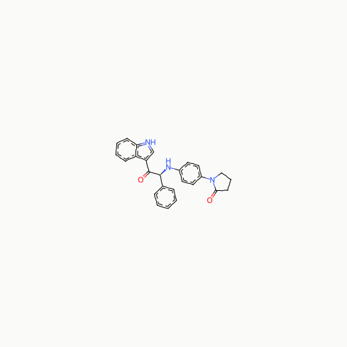 O=C(c1c[nH]c2ccccc12)[C@@H](Nc1ccc(N2CCCC2=O)cc1)c1ccccc1